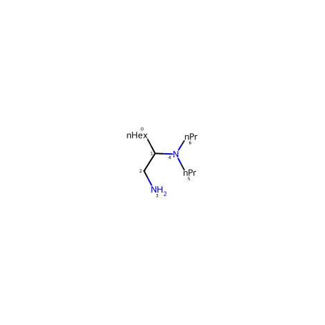 CCCCCCC(CN)N(CCC)CCC